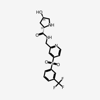 O=C(NCc1cc(S(=O)(=O)c2cccc(C(F)(F)F)c2)ccn1)[C@@H]1C[C@@H](O)CN1